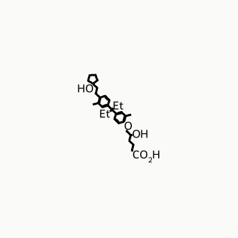 CCC(CC)(c1ccc(CCC2(O)CCCC2)c(C)c1)c1ccc(OCC(O)CCCC(=O)O)c(C)c1